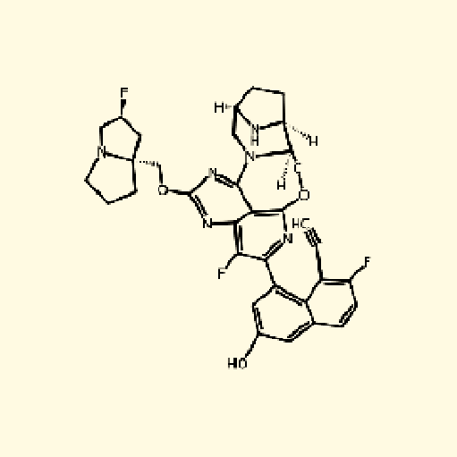 C#Cc1c(F)ccc2cc(O)cc(-c3nc4c5c(nc(OC[C@]67CCCN6C[C@@H](F)C7)nc5c3F)N3C[C@H]5CC[C@H](N5)[C@H]3CO4)c12